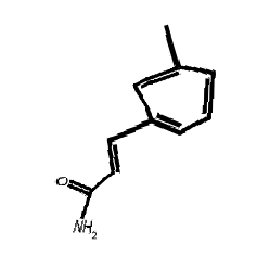 Cc1cccc(/C=C/C(N)=O)c1